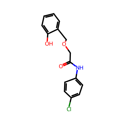 O=C(COCc1ccccc1O)Nc1ccc(Cl)cc1